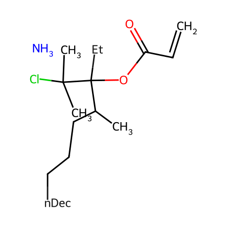 C=CC(=O)OC(CC)(C(C)CCCCCCCCCCCCC)C(C)(C)Cl.N